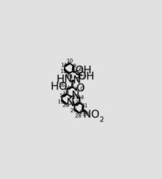 O=c1c(C2=NS(O)(O)c3ccccc3N2)c(O)c2cccnc2n1Cc1cccc([N+](=O)[O-])c1